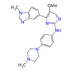 COc1cnc(Nc2ccc(N3CCN(C)CC3)cc2)nc1-c1ccc2c(c1)ncn2C